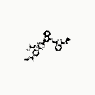 CCOC(=O)N1CCN(C(=O)[C@H](CCC(=O)O)NC(=O)c2cc(OCC(=O)N3CCCC[C@@H]3C(=O)NC3CC3)c3ccccc3n2)CC1